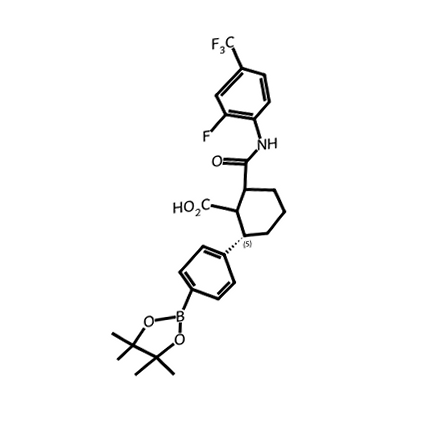 CC1(C)OB(c2ccc([C@H]3CCCC(C(=O)Nc4ccc(C(F)(F)F)cc4F)C3C(=O)O)cc2)OC1(C)C